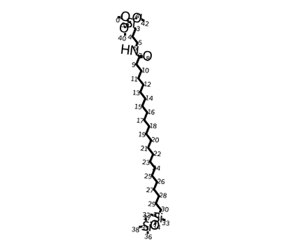 CO[Si](CCCNC(=O)CCCCCCCCCCCCCCCCCCCCCC[Si](C)(C)O[Si](C)(C)C)(OC)OC